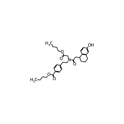 CCCCOC(=O)CN(CCc1ccc(C(=O)OCCCC)cc1)C(=O)CC1CCCc2cc(O)ccc21